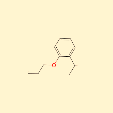 C=CCOc1cc[c]cc1C(C)C